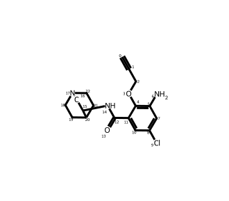 C#CCOc1c(N)cc(Cl)cc1C(=O)NC1CN2CCC1CC2